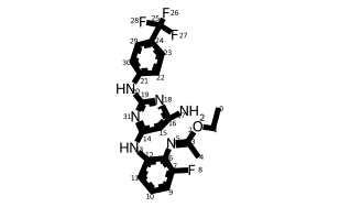 CCO/C(C)=N/c1c(F)cccc1Nc1cc(N)nc(Nc2ccc(C(F)(F)F)cc2)n1